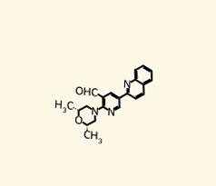 C[C@@H]1CN(c2ncc(-c3ccc4ccccc4n3)cc2C=O)C[C@H](C)O1